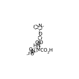 CC=CS(=O)(=O)N1CCN([C@@H](CNS(=O)(=O)c2ccc(OCc3cc(C)nc4ccccc34)cc2)C(=O)O)CC1